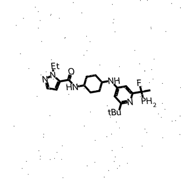 CCn1nccc1C(=O)NC1CCC(Nc2cc(C(C)(C)C)nc(C(C)(F)P)c2)CC1